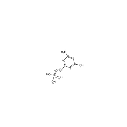 Cc1cc(C)cc(O)c1.O=P(O)(O)O